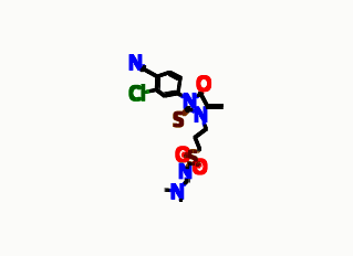 C=C1C(=O)N(c2ccc(C#N)c(Cl)c2)C(=S)N1CCCS(=O)(=O)/N=C/N(C)C